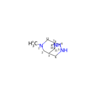 CN1CC2CNCC3(CNCC23)C1